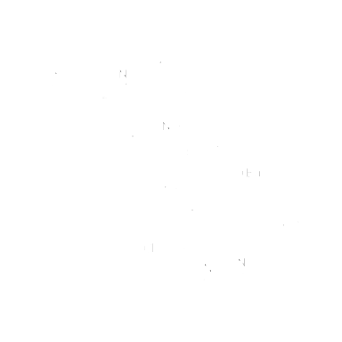 CC(C)(C)c1c(Cl)nnc(Cl)c1OC(=O)N1CCNC(CO)C1